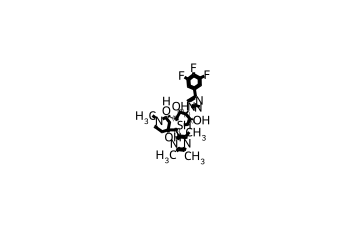 Cc1nc(C)c([C@H]([SH]2C[C@H](O)[C@H](n3cc(-c4cc(F)c(F)c(F)c4)nn3)[C@@H](O)[C@H]2CO)C2(O)CCN(C)CC2)nc1C